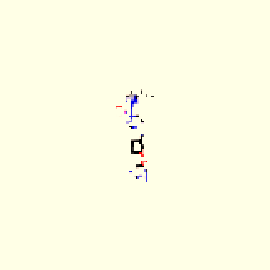 CC(=O)c1ccn(C(=O)N2CCN(Cc3cccc(Oc4cncnc4)c3)CC2)n1